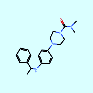 CC(Nc1ccc(N2CCN(C(=O)N(C)C)CC2)cc1)c1ccccc1